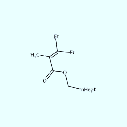 CCCCCCCCOC(=O)C(C)=C(CC)CC